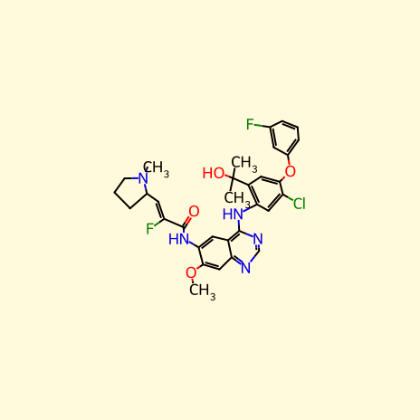 COc1cc2ncnc(Nc3cc(Cl)c(Oc4cccc(F)c4)cc3C(C)(C)O)c2cc1NC(=O)C(F)=CC1CCCN1C